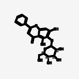 O=c1cc(-c2ccccc2)oc2cc(O)c(OC3O[C@H](CO)[C@@H](O)[C@H](O)[C@H]3O)c(O)c12